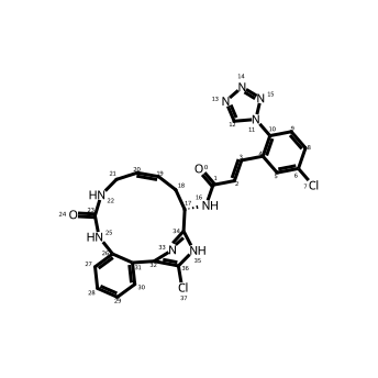 O=C(C=Cc1cc(Cl)ccc1-n1cnnn1)N[C@H]1CC=CCNC(=O)Nc2ccccc2-c2nc1[nH]c2Cl